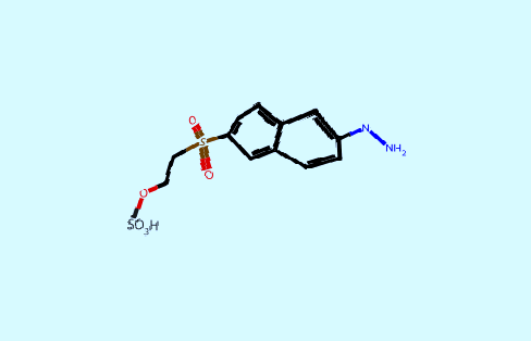 N[N]c1ccc2cc(S(=O)(=O)CCOS(=O)(=O)O)ccc2c1